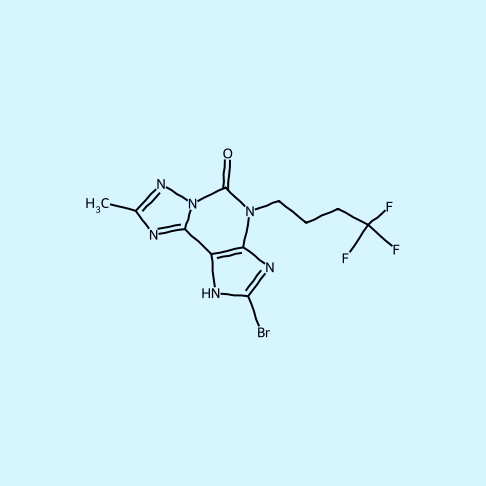 Cc1nc2c3[nH]c(Br)nc3n(CCCC(F)(F)F)c(=O)n2n1